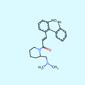 CC(C)c1ccccc1-c1c([N+](=O)[O-])[c]ccc1/C=C/C(=O)N1CCCCC1CN(C)C